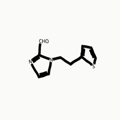 O=Cc1nccn1CCc1cccs1